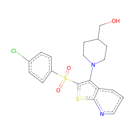 O=S(=O)(c1ccc(Cl)cc1)c1sc2ncccc2c1N1CCC(CO)CC1